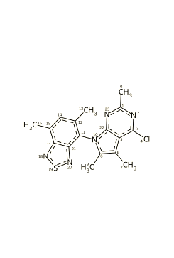 Cc1nc(Cl)c2c(C)c(C)n(-c3c(C)cc(C)c4nsnc34)c2n1